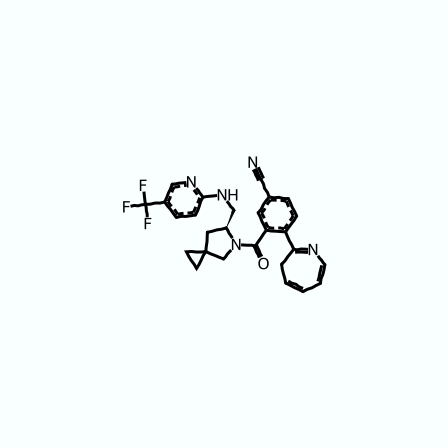 N#Cc1ccc(C2=NC=CC=CC2)c(C(=O)N2CC3(CC3)C[C@H]2CNc2ccc(C(F)(F)F)cn2)c1